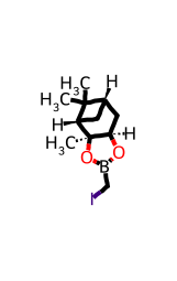 CC1(C)[C@@H]2C[C@H]3OB(CI)O[C@@]3(C)[C@H]1C2